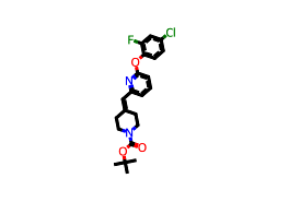 CC(C)(C)OC(=O)N1CCC(=Cc2cccc(Oc3ccc(Cl)cc3F)n2)CC1